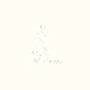 CCc1ccc(-c2cc(=O)c3c(N)cc(OC)cc3o2)cc1